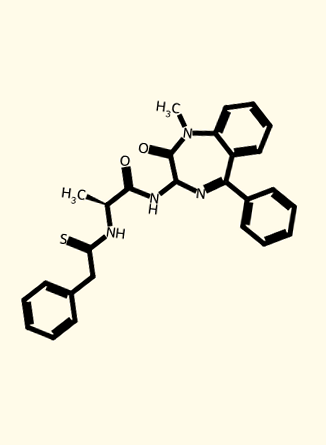 C[C@H](NC(=S)Cc1ccccc1)C(=O)NC1N=C(c2ccccc2)c2ccccc2N(C)C1=O